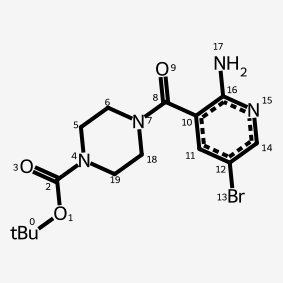 CC(C)(C)OC(=O)N1CCN(C(=O)c2cc(Br)cnc2N)CC1